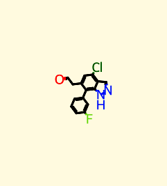 O=CCc1cc(Cl)c2cn[nH]c2c1-c1cccc(F)c1